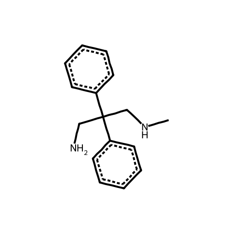 CNCC(CN)(c1ccccc1)c1ccccc1